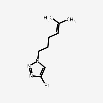 CCc1cn(CCCC=C(C)C)nn1